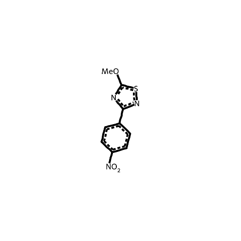 COc1nc(-c2ccc([N+](=O)[O-])cc2)ns1